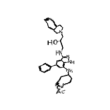 CC(=O)N1CCC(Nc2cc(-c3ccccc3)cc3c(NC[C@H](O)CN4CCc5ccccc5C4)n[nH]c23)CC1